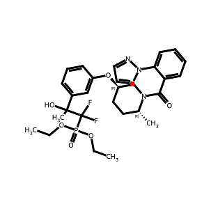 CCOP(=O)(OCC)C(F)(F)C(C)(O)c1cccc(O[C@@H]2CC[C@@H](C)N(C(=O)c3ccccc3-n3nccn3)C2)c1